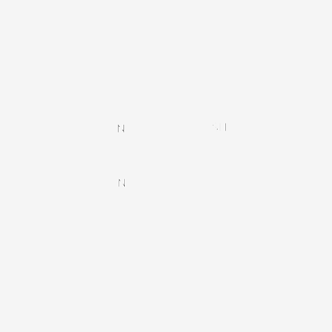 Cc1ncncc1C(C)S